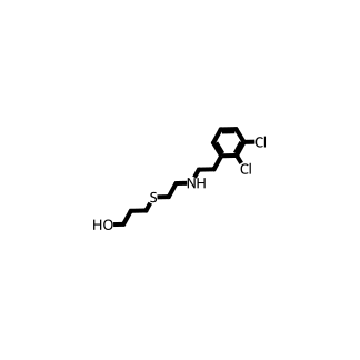 OCCCSCCNCCc1cccc(Cl)c1Cl